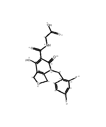 O=C(O)CNC(=O)c1c(O)c2c(n(Cc3ccc(F)cc3F)c1=O)COC2